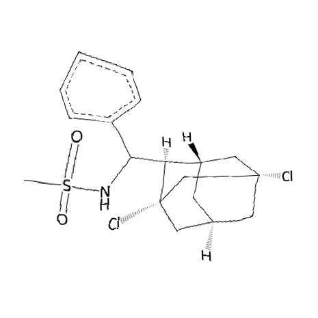 CS(=O)(=O)NC(c1ccccc1)[C@H]1[C@H]2C[C@H]3C[C@](Cl)(C2)C[C@@]1(Cl)C3